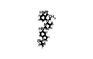 CCN(c1nc(Nc2ccc3c(c2)CCN3C(=O)C(F)(F)F)ncc1F)c1cccc2[nH]ncc12